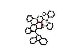 c1ccc2c(c1)Oc1cc(-c3ccccc3-c3c4ccccc4c(-c4cc5ccccc5c5ccccc45)c4ccccc34)cc3c1B2c1ccccc1O3